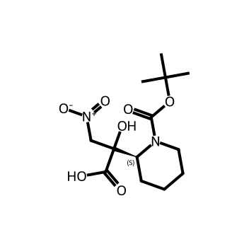 CC(C)(C)OC(=O)N1CCCC[C@H]1C(O)(C[N+](=O)[O-])C(=O)O